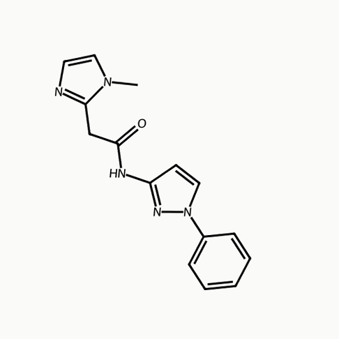 Cn1ccnc1CC(=O)Nc1ccn(-c2ccccc2)n1